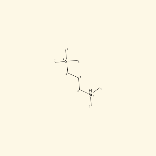 C[SiH](C)CCC[Si](C)(C)C